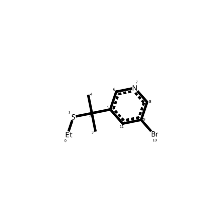 CCSC(C)(C)c1cncc(Br)c1